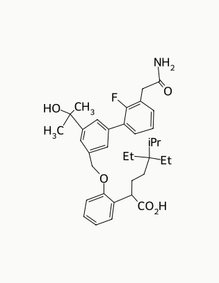 CCC(CC)(CCC(C(=O)O)c1ccccc1OCc1cc(-c2cccc(CC(N)=O)c2F)cc(C(C)(C)O)c1)C(C)C